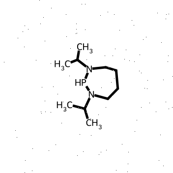 CC(C)N1CCCCN(C(C)C)P1